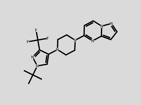 CC(C)(C)n1cc(N2CCN(c3ccn4nccc4n3)CC2)c(C(F)(F)F)n1